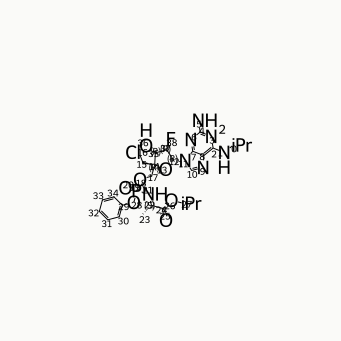 CC(C)Nc1nc(N)nc2c1ncn2[C@@H]1O[C@](CCl)(COP(=O)(N[C@@H](C)C(=O)OC(C)C)Oc2ccccc2)[C@@H](O)[C@H]1F